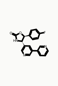 O=C1N[C@@H](c2cncc(-c3cccnc3)c2)[C@H](c2ccc(F)cc2)O1